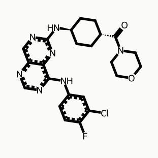 O=C([C@H]1CC[C@H](Nc2ncc3ncnc(Nc4ccc(F)c(Cl)c4)c3n2)CC1)N1CCOCC1